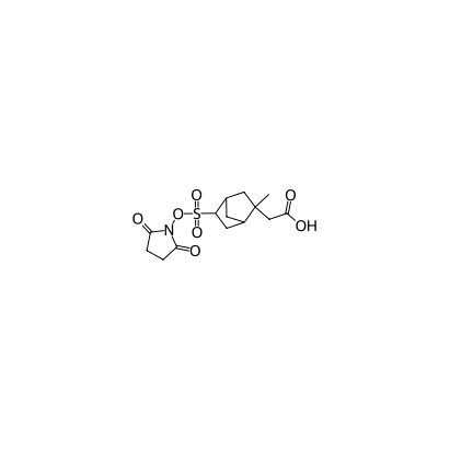 CC1(CC(=O)O)CC2CC1CC2S(=O)(=O)ON1C(=O)CCC1=O